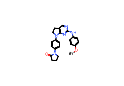 CC(C)Oc1ccc(Nc2ncc3c(n2)N(c2ccc(N4CCCC4=O)cc2)CC3)cc1